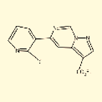 CCOC(=O)c1cnn2cnc(-c3cccnc3Cl)cc12